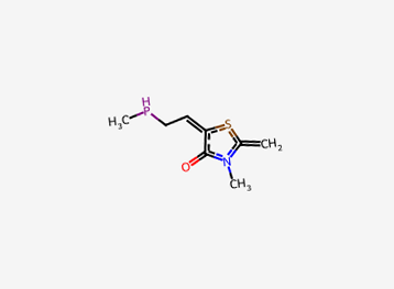 C=c1s/c(=C/CPC)c(=O)n1C